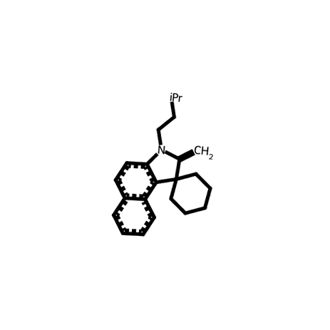 C=C1N(CCC(C)C)c2ccc3ccccc3c2C12CCCCC2